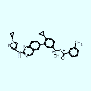 Cc1cccc(C(=O)N[C@H](C)c2ccc(C3CC3)c(-c3ccc4nc(Nc5cnn(C6CC6)c5)ncc4c3)c2)c1